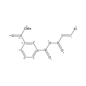 CCC=CC(=O)OC(=O)c1cccc(C(=O)OC)c1